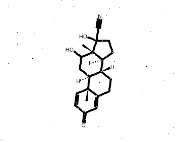 C[C@]12C=CC(=O)C=C1CC[C@@H]1[C@@H]2CC(O)[C@@]2(C)[C@H]1CCC2(O)C#N